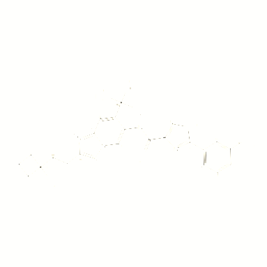 Cc1cccc(-c2nc(C(=O)Nc3cn4cc(CCC5(O)CCC5)nc4cc3C(C)(C)O)co2)c1